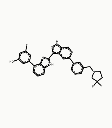 Oc1cc(F)cc(-c2cccc3[nH]c(-c4n[nH]c5cnc(-c6cncc(CN7CCC(F)(F)C7)c6)cc45)nc23)c1